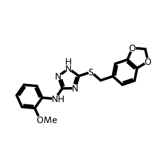 COc1ccccc1Nc1n[nH]c(SCc2ccc3c(c2)OCO3)n1